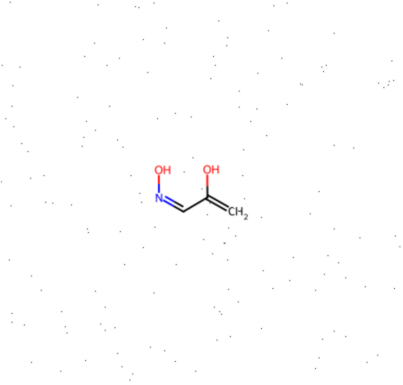 C=C(O)/C=N\O